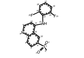 CS(=O)(=O)c1ccc2nccc(Nc3c(F)cccc3F)c2c1